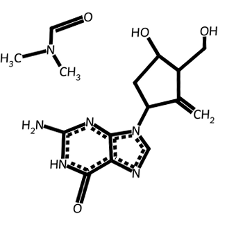 C=C1C(CO)C(O)CC1n1cnc2c(=O)[nH]c(N)nc21.CN(C)C=O